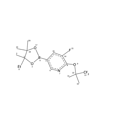 CCC1(C)OB(c2cnc(OC(C)(C)C(F)(F)F)c(F)c2)OC1(C)C